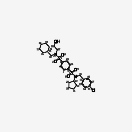 O=S(=O)(c1ccc(S(=O)(=O)N(Cc2ccc(Cl)cc2)C2CCCC2)cc1)N(CCO)CC1CCCCC1